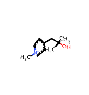 C[n+]1ccc(CC(C)(C)O)cc1